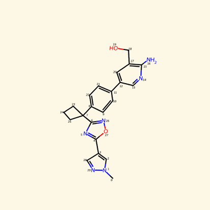 Cn1cc(-c2nc(C3(c4ccc(-c5cnc(N)c(CO)c5)cc4)CCC3)no2)cn1